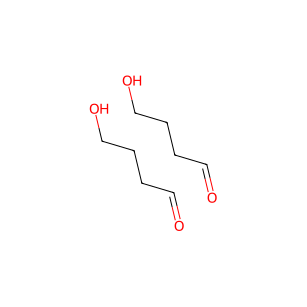 O=CCCCO.O=CCCCO